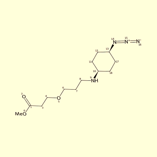 COC(=O)CCOCCCN[C@H]1CC[C@@H](N=[N+]=[N-])CC1